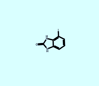 O=c1[nH]c2cccc(I)c2[nH]1